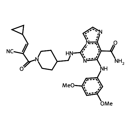 COc1cc(Nc2nc(NCC3CCN(C(=O)C(C#N)=CC4CC4)CC3)n3ccnc3c2C(N)=O)cc(OC)c1